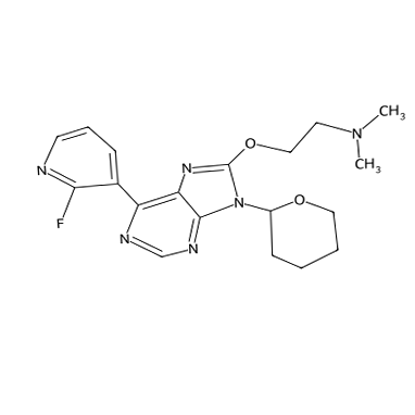 CN(C)CCOc1nc2c(-c3cccnc3F)ncnc2n1C1CCCCO1